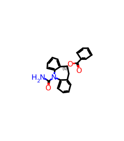 NC(=O)N1c2ccccc2C[C@H](OC(=O)c2ccccc2)c2ccccc21